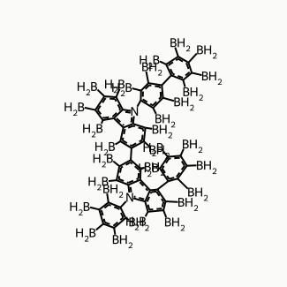 Bc1c(B)c(B)c(-c2c(B)c(B)c(-n3c4c(B)c(B)c(B)c(B)c4c4c(B)c(-c5c(B)c(B)c6c(c5B)c5c(-c7c(B)c(B)c(B)c(B)c7B)c(B)c(B)c(B)c5n6-c5c(B)c(B)c(B)c(B)c5B)c(B)c(B)c43)c(B)c2B)c(B)c1B